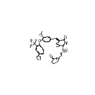 COc1cc(/C=C2\SC(NCCN3CCCC3=O)=NC2=O)ccc1Oc1ccc(Cl)cc1C(F)(F)F